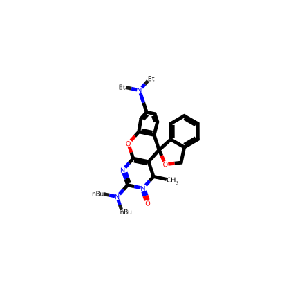 CCCCN(CCCC)C1=NC2=C(C(C)[N+]1=O)C1(OCc3ccccc31)c1ccc(N(CC)CC)cc1O2